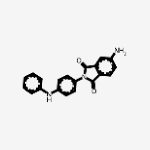 Nc1ccc2c(c1)C(=O)N(c1ccc(Nc3ccccc3)cc1)C2=O